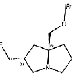 CC(C)OC[C@@]12CCCN1C[C@H](CF)C2